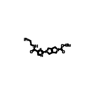 CC(C)CCNC(=O)c1cnc(N2CC3=C(CN(C(=O)OC(C)(C)C)C3)C2)s1